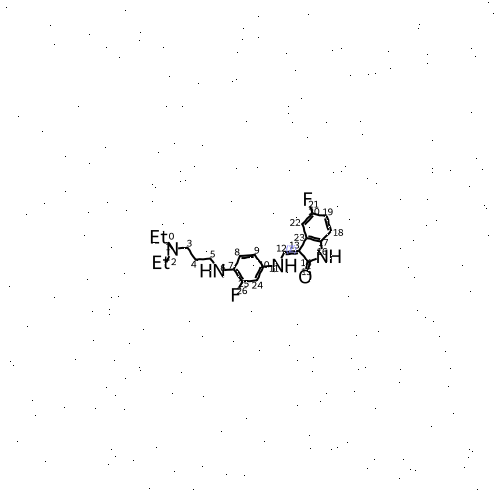 CCN(CC)CCCNc1ccc(N/C=C2\C(=O)Nc3ccc(F)cc32)cc1F